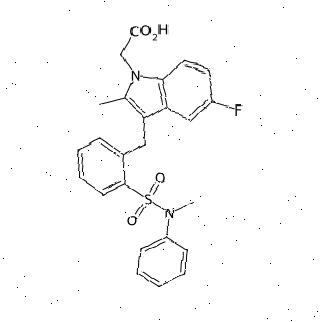 Cc1c(Cc2ccccc2S(=O)(=O)N(C)c2ccccc2)c2cc(F)ccc2n1CC(=O)O